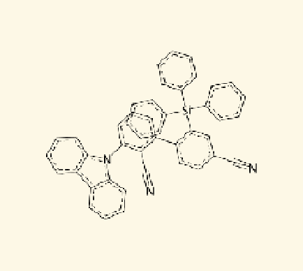 N#Cc1ccc(-c2cccc(-n3c4ccccc4c4ccccc43)c2C#N)c([Si](c2ccccc2)(c2ccccc2)c2ccccc2)c1